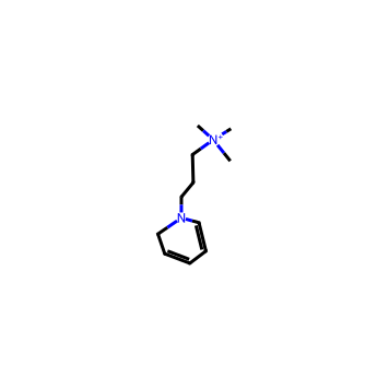 C[N+](C)(C)CCCN1C=CC=CC1